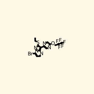 CCSc1nn2c(Br)ccnc2c1-c1cnc(OCC(F)(F)C(F)(F)F)cn1